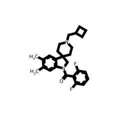 Cc1cc2c(cc1C)C1(CCN(CC3CCC3)CC1)CN2C(=O)c1c(F)cccc1F